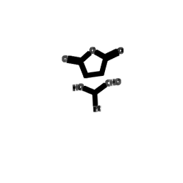 CCC(O)C=O.O=C1CCC(=O)O1